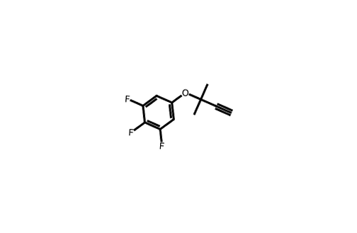 C#CC(C)(C)Oc1cc(F)c(F)c(F)c1